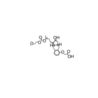 COCCOC(=O)O[C@@H](C)CC[C@@H]1[C@H]2Cc3cccc(OCC(=O)O)c3C[C@H]2C[C@H]1O